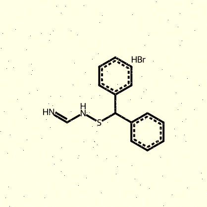 Br.N=CNSC(c1ccccc1)c1ccccc1